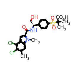 Cc1cc2c(cc(C(=O)N[C@H](CO)c3ccc(S(=O)(=O)C(C)(C)C(=O)O)cc3)n2C)c(Cl)c1Cl